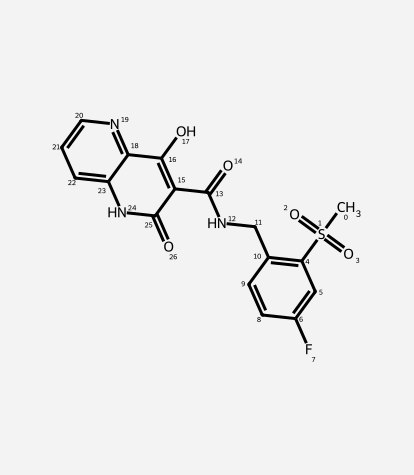 CS(=O)(=O)c1cc(F)ccc1CNC(=O)c1c(O)c2ncccc2[nH]c1=O